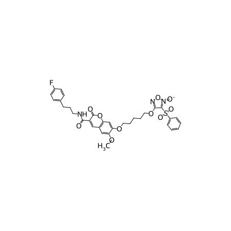 COc1cc2cc(C(=O)NCCCc3ccc(F)cc3)c(=O)oc2cc1OCCCCCOc1no[n+]([O-])c1S(=O)(=O)c1ccccc1